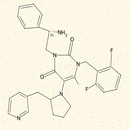 Cc1c(N2CCCC2Cc2cccnc2)c(=O)n(C[C@@H](N)c2ccccc2)c(=O)n1Cc1c(F)cccc1F